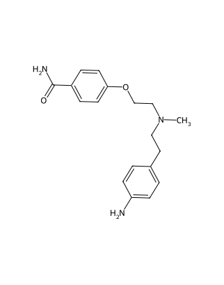 CN(CCOc1ccc(C(N)=O)cc1)CCc1ccc(N)cc1